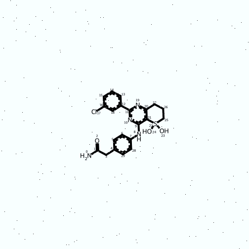 NC(=O)Cc1ccc(Nc2nc(-c3cccc(Cl)c3)nc3c2S(O)(O)CCC3)cc1